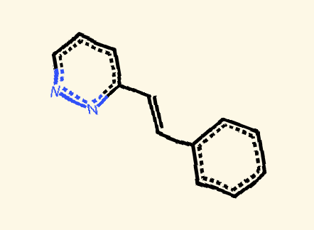 C(=C\c1cccnn1)/c1ccccc1